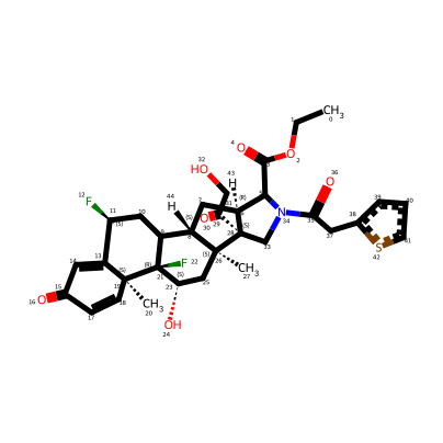 CCOC(=O)C1[C@@H]2C[C@H]3C4C[C@H](F)C5=CC(=O)C=C[C@]5(C)[C@@]4(F)[C@@H](O)C[C@]3(C)[C@]2(C(=O)CO)CN1C(=O)Cc1cccs1